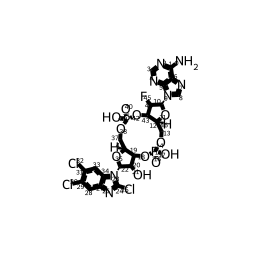 Nc1ncnc2c1ncn2[C@@H]1O[C@@H]2COP(=O)(O)OC3C(O)[C@H](n4c(Cl)nc5cc(Cl)c(Cl)cc54)O[C@@H]3COP(=O)(O)OC2C1F